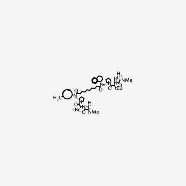 C=C1/C=C\C=C/C[C@H](N(C[C@@H]2CCCN2C(=O)[C@@H](NC(=O)[C@H](C)NC)C(C)(C)C)C(=O)CCCCCCCCC(=O)N(C[C@@H]2CCCN2C(=O)[C@@H](NC(=O)[C@H](C)NC)C(C)(C)C)[C@@H]2CCCc3ccccc32)CCC1